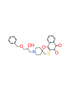 O=C1C(=O)c2ccccc2C2=C1SCC1(CCN(CC(O)COCc3ccccc3)CC1)O2